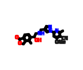 COc1cc(-n2cc(CNC[C@H](O)c3ccc4c(c3C)COC4=O)cn2)nc(C)c1C#N